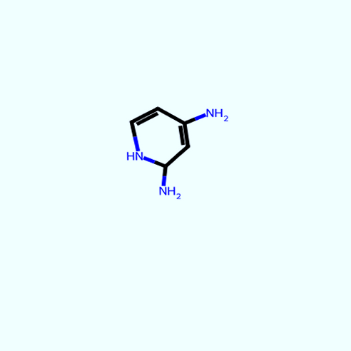 NC1=CC(N)NC=C1